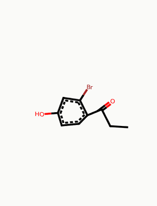 CCC(=O)c1ccc(O)cc1Br